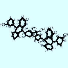 COc1cccc(-c2c3ccccc3c(-c3ccc4c(c3)C(C)(C)c3cc(-c5c6ccccc6c(-c6cccc(OC)c6)c6ccccc56)ccc3-4)c3ccccc23)c1